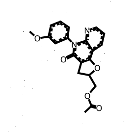 COc1cccc(-n2c(=O)c3c(c4cccnc42)OC(COC(C)=O)C3)c1